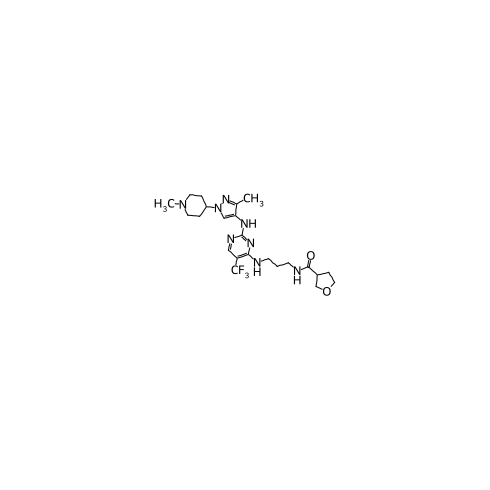 Cc1nn(C2CCN(C)CC2)cc1Nc1ncc(C(F)(F)F)c(NCCCNC(=O)C2CCOC2)n1